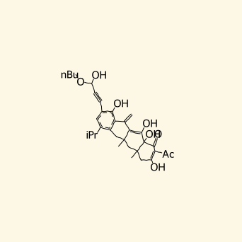 C=C1C2=C(O)C3(O)C(=O)C(C(C)=O)=C(O)CC3(C)CC2(C)Cc2c(C(C)C)cc(C#CC(O)OCCCC)c(O)c21